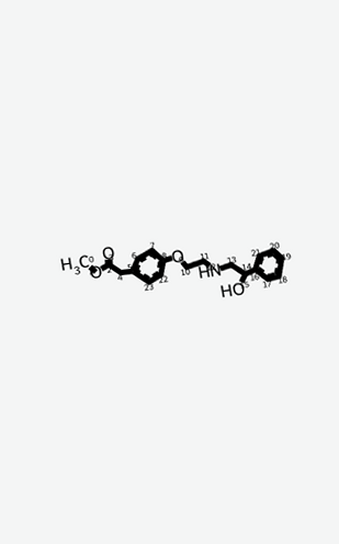 COC(=O)Cc1ccc(OCCNCC(O)c2ccccc2)cc1